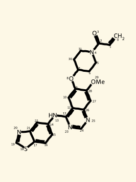 C=CC(=O)N1CCC(Oc2cc3c(Nc4ccc5scnc5c4)ncnc3cc2OC)CC1